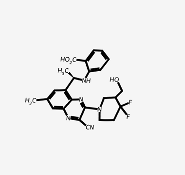 Cc1cc([C@@H](C)Nc2ccccc2C(=O)O)c2nc(N3CCC(F)(F)C(CO)C3)c(C#N)nc2c1